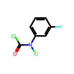 O=C(Cl)N(Cl)c1cccc(F)c1